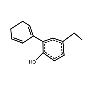 CCc1ccc(O)c(C2=CCCC=C2)c1